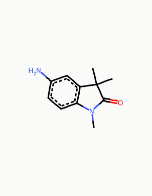 CN1C(=O)C(C)(C)c2cc(N)ccc21